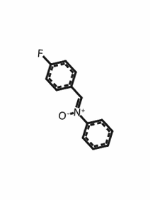 [O-][N+](=Cc1ccc(F)cc1)c1ccccc1